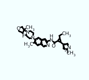 CCC1C(C(=O)Nc2cc3cc(N4CCN(C5(C)COCC5F)CC4)c(C)cc3cn2)C1c1cnn(C)c1